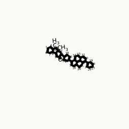 CC1(C)c2ccccc2-c2cc3oc4cc(-c5ccc6ccc7c(-c8ccccc8)ccc8ccc5c6c87)ccc4c3cc21